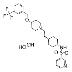 Cl.Cl.O=S(=O)(N[C@H]1CC[C@H](CCN2CCC(OCc3cccc(C(F)(F)F)c3)CC2)CC1)c1cccnc1